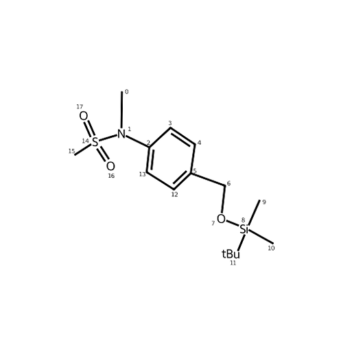 CN(c1ccc(CO[Si](C)(C)C(C)(C)C)cc1)S(C)(=O)=O